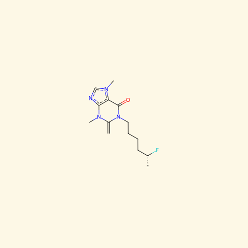 C=C1N(CCCC[C@@H](C)F)C(=O)c2c(ncn2C)N1C